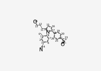 Cc1cc(C#N)ccc1-n1c(CCC=O)ccc1-c1ccc([S+](C)[O-])cc1